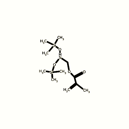 C=C(C)C(=O)OC[SiH](O[Si](C)(C)C)O[Si](C)(C)C